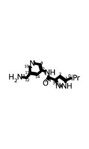 CC(C)c1cc(C(=O)Nc2cncc(CN)c2)n[nH]1